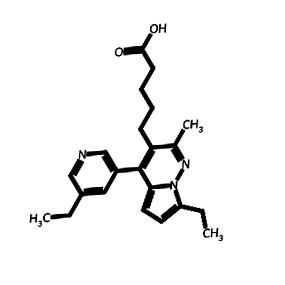 CCc1cncc(-c2c(CCCCC(=O)O)c(C)nn3c(CC)ccc23)c1